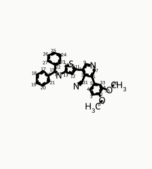 COc1ccc(-c2cncc(-c3cc(N=C(c4ccccc4)c4ccccc4)cs3)c2C#N)cc1OC